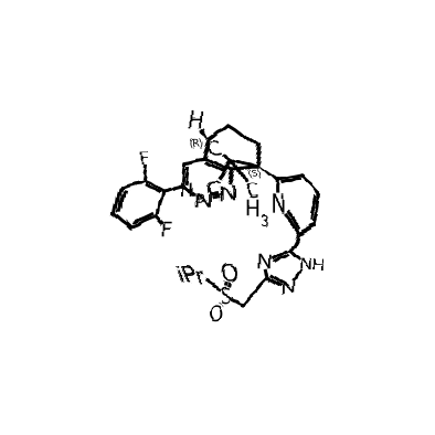 CC(C)S(=O)(=O)Cc1n[nH]c(-c2cccc([C@]34CC[C@H](CC3(C)C)c3cc(-c5c(F)cccc5F)nnc34)n2)n1